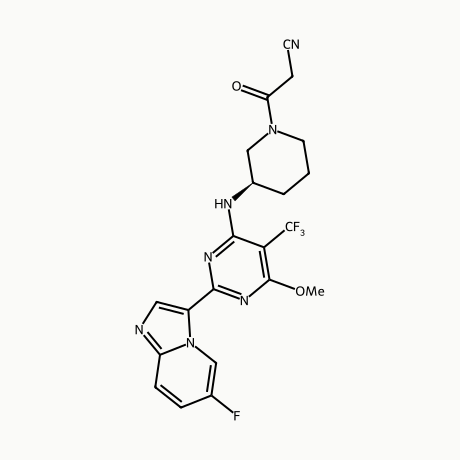 COc1nc(-c2cnc3ccc(F)cn23)nc(N[C@@H]2CCCN(C(=O)CC#N)C2)c1C(F)(F)F